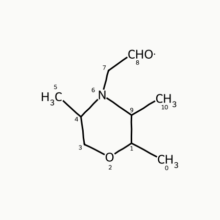 CC1OCC(C)N(C[C]=O)C1C